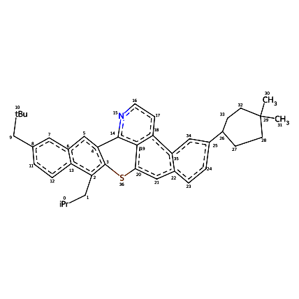 CC(C)Cc1c2c(cc3cc(CC(C)(C)C)ccc13)-c1nccc3c1c(cc1ccc(C4CCC(C)(C)CC4)cc13)S2